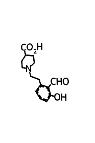 O=Cc1c(O)cccc1CCN1CCC(C(=O)O)CC1